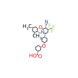 Cc1ccc(Cn2c(-c3ccc(Oc4cccc(C(=O)O)c4)cc3)cc(C(F)(F)F)c(C#N)c2=O)c(C)c1